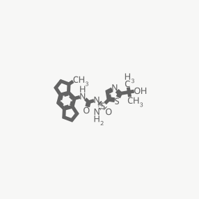 CC1CCc2cc3c(c(NC(=O)N=[S@@](N)(=O)c4cnc(C(C)(C)O)s4)c21)CCC3